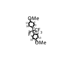 COc1ccc(C(CF)(c2ccc(OC)cc2)C(F)(F)F)cc1